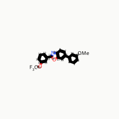 COc1cccc(-c2ccc3nc(-c4cccc(OC(F)(F)F)c4)oc3c2)c1